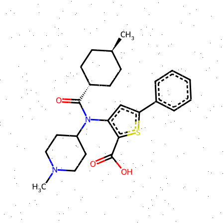 CN1CCC(N(c2cc(-c3ccccc3)sc2C(=O)O)C(=O)[C@H]2CC[C@H](C)CC2)CC1